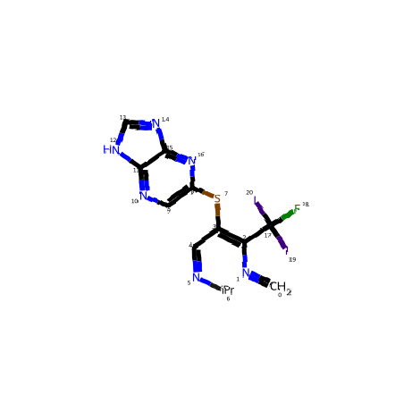 C=N/C(=C(\C=N/C(C)C)Sc1cnc2[nH]cnc2n1)C(F)(I)I